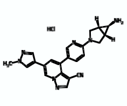 Cl.Cn1cc(-c2cc(-c3ccc(N4C[C@@H]5[C@@H](N)[C@@H]5C4)nc3)c3c(C#N)cnn3c2)cn1